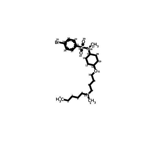 CCCCCN(C)CCCCOC1CCC(N(C)S(=O)(=O)c2ccc(Br)cc2)CC1